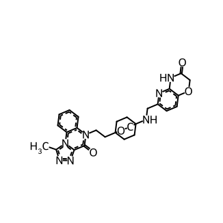 Cc1nnc2c(=O)n(CCC34CCC(NCc5ccc6c(n5)NC(=O)CO6)(CC3)CO4)c3ccccc3n12